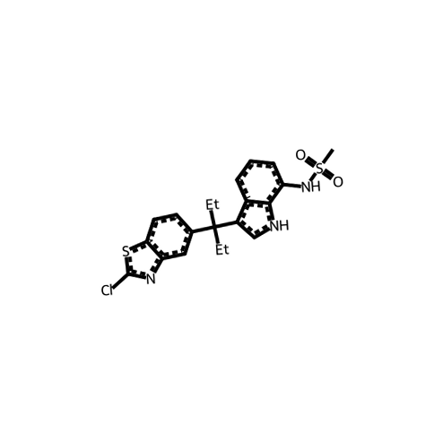 CCC(CC)(c1ccc2sc(Cl)nc2c1)c1c[nH]c2c(NS(C)(=O)=O)cccc12